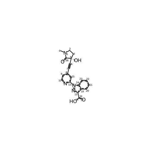 CN1CC[C@@](O)(C#Cc2ccnc(-n3nc(C(=O)O)c4ccccc43)c2)C1=O